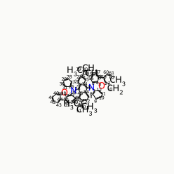 C=Cc1oc2c(N(c3ccccc3)c3c4cc(C(C)(C)C)ccc4c(N(c4ccccc4)c4cccc5c4oc4ccccc45)c4cc(C(C)(C)C)ccc34)cccc2c1/C=C\C